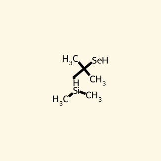 C[SiH](C)CC(C)(C)[SeH]